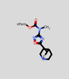 CCCCCOC(=O)N(C)c1noc(C2CN3CCC2CC3)n1